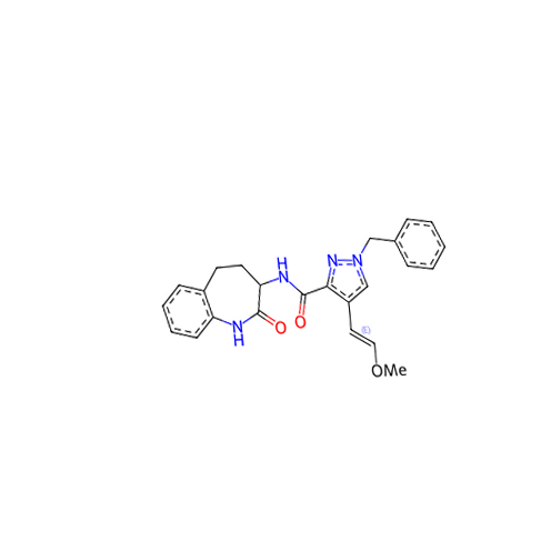 CO/C=C/c1cn(Cc2ccccc2)nc1C(=O)NC1CCc2ccccc2NC1=O